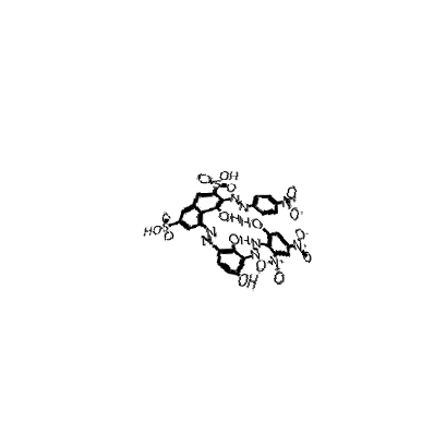 O=[N+]([O-])c1ccc(N=Nc2c(S(=O)(=O)O)cc3cc(S(=O)(=O)O)cc(N=Nc4ccc(O)c(N=Nc5c(O)cc([N+](=O)[O-])cc5[N+](=O)[O-])c4O)c3c2O)cc1